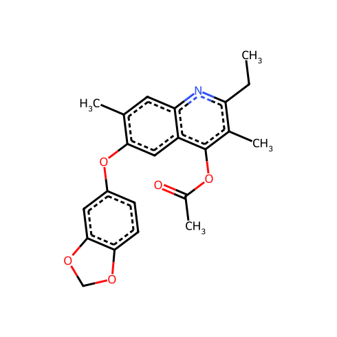 CCc1nc2cc(C)c(Oc3ccc4c(c3)OCO4)cc2c(OC(C)=O)c1C